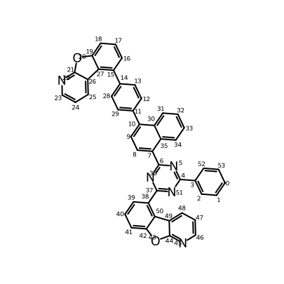 c1ccc(-c2nc(-c3ccc(-c4ccc(-c5cccc6oc7ncccc7c56)cc4)c4ccccc34)nc(-c3cccc4oc5ncccc5c34)n2)cc1